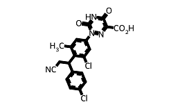 Cc1cc(-n2nc(C(=O)O)c(=O)[nH]c2=O)cc(Cl)c1C(CC#N)c1ccc(Cl)cc1